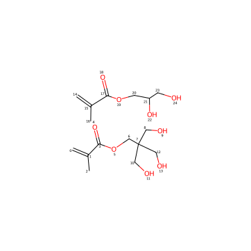 C=C(C)C(=O)OCC(CO)(CO)CO.C=C(C)C(=O)OCC(O)CO